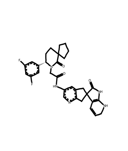 O=C(CN1C(=O)C2(CCCC2)CC[C@H]1c1cc(F)cc(F)c1)Nc1cnc2c(c1)CC1(C2)C(=O)NC2=C1C=CCN2